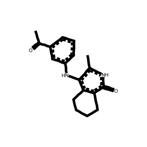 CC(=O)c1cccc(Nc2c(C)[nH]c(=O)c3c2CCCC3)c1